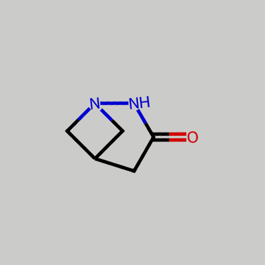 O=C1CC2CN(C2)N1